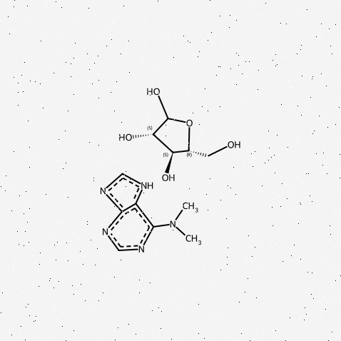 CN(C)c1ncnc2nc[nH]c12.OC[C@H]1OC(O)[C@@H](O)[C@@H]1O